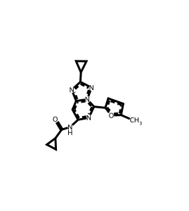 Cc1ccc(-c2nc(NC(=O)C3CC3)cc3nc(C4CC4)nn23)o1